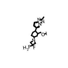 Cc1nc2ccc(C3CCC(N4CC(F)(P)C4)CC3COI)cn2n1